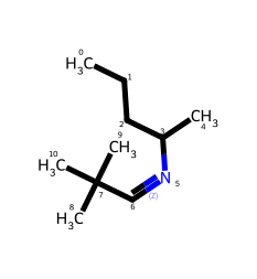 CCCC(C)/N=C\C(C)(C)C